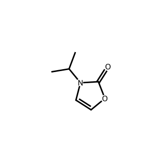 CC(C)n1ccoc1=O